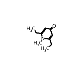 CCc1cc(=O)cc(CC)n1C